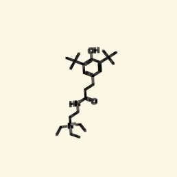 CC[N+](CC)(CC)CCNC(=O)CCc1cc(C(C)(C)C)c(O)c(C(C)(C)C)c1